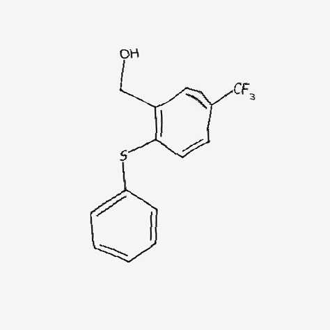 OCc1cc(C(F)(F)F)ccc1Sc1ccccc1